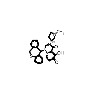 CN1CC[C@@H](N2CN(C3c4ccccc4CSc4ccccc43)n3ccc(=O)c(O)c3C2=O)C1